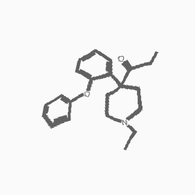 CCC(=O)C1(c2ccccc2Oc2ccccc2)CCN(CC)CC1